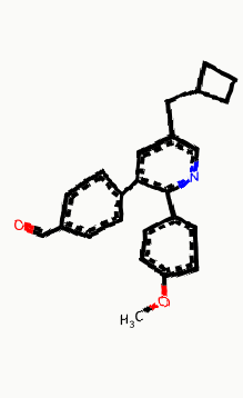 COc1ccc(-c2ncc(CC3CCC3)cc2-c2ccc(C=O)cc2)cc1